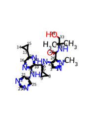 Cn1ncc(NC(=C2CC2)c2nc(C3CC3)cnc2Nc2cncnc2)c1C(=O)NC(C)(C)CO